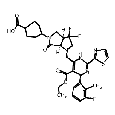 CCOC(=O)C1=C(CN2CC(F)(F)[C@@H]3CN(C4CCC(C(=O)O)CC4)C(=O)[C@@H]32)NC(c2nccs2)=N[C@H]1c1cccc(F)c1C